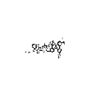 CCOC(=O)C(CCOC(=O)Cc1ccc(NC(=O)c2ccc(C(F)(F)F)cc2-c2ccc(C(F)(F)F)cc2)c(C(=O)N(C)C)c1)(C(=O)OCC)c1ccccc1